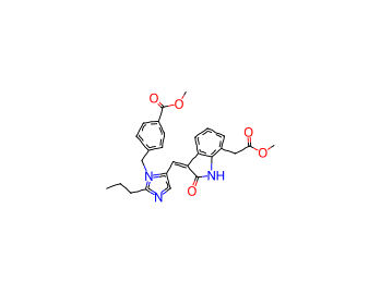 CCCc1ncc(C=C2C(=O)Nc3c(CC(=O)OC)cccc32)n1Cc1ccc(C(=O)OC)cc1